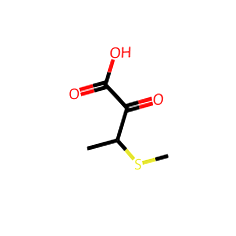 CSC(C)C(=O)C(=O)O